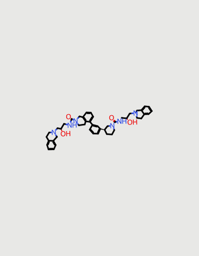 O=C(NC[C@@H](O)CN1CCc2ccccc2C1)N1CCc2c(cccc2-c2cccc([C@@H]3CCCN(C(=O)NC[C@H](O)CN4CCc5ccccc5C4)C3)c2)C1